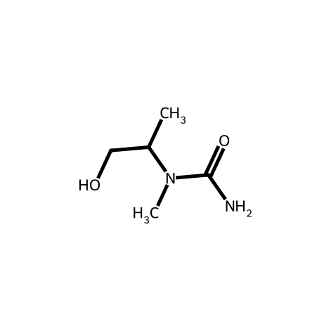 CC(CO)N(C)C(N)=O